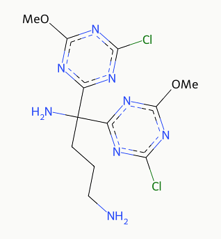 COc1nc(Cl)nc(C(N)(CCCN)c2nc(Cl)nc(OC)n2)n1